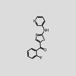 O=C(c1cnc(Nc2cccnc2)s1)c1ccccc1F